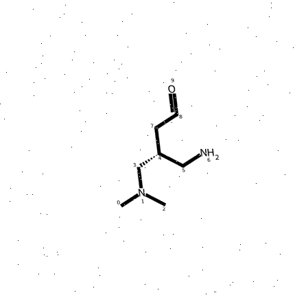 CN(C)C[C@@H](CN)CC=O